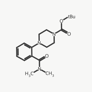 CN(C)C(=O)c1ccccc1N1CCN(C(=O)OC(C)(C)C)CC1